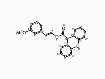 COc1cccc(C=COC(=O)C2c3ccccc3Oc3ccccc32)c1